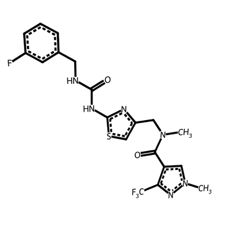 CN(Cc1csc(NC(=O)NCc2cccc(F)c2)n1)C(=O)c1cn(C)nc1C(F)(F)F